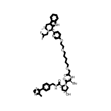 Cc1ncsc1-c1ccc(CNC(=O)[C@@H]2C[C@@H](O)CN2C(=O)[C@@H](NC(=O)COCCCCCOCCOc2ccc([C@@H]3c4[nH]c5ccccc5c4C[C@@H](C)N3CC(F)F)nc2)C(C)(C)C)cc1